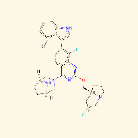 CCc1cccc2[nH]cc(-c3ccc4c(N5C[C@H]6CC[C@@H](C5)N6)nc(OC[C@@]56CCCN5C[C@H](F)C6)nc4c3F)c12